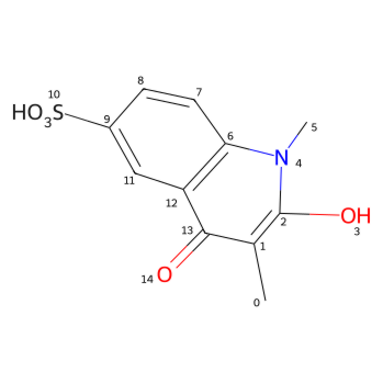 Cc1c(O)n(C)c2ccc(S(=O)(=O)O)cc2c1=O